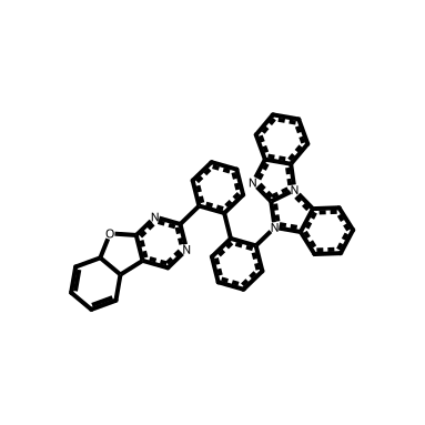 C1=CC2Oc3nc(-c4ccccc4-c4ccccc4-n4c5ccccc5n5c6ccccc6nc45)ncc3C2C=C1